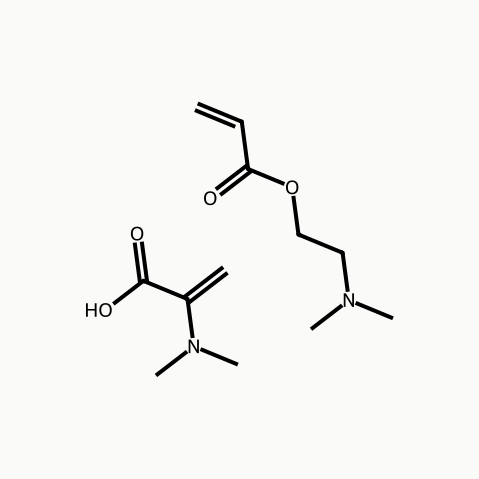 C=C(C(=O)O)N(C)C.C=CC(=O)OCCN(C)C